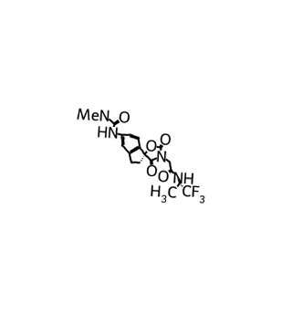 CNC(=O)Nc1ccc2c(c1)CC[C@@]21OC(=O)N(CC(=O)N[C@@H](C)C(F)(F)F)C1=O